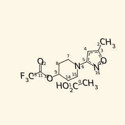 CC(=O)O.Cc1cc(N2CCC(OC(=O)C(F)(F)F)CC2)no1